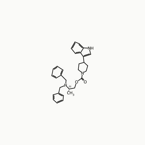 C[C@@H](COC(=O)N1CCC(c2c[nH]c3ccccc23)CC1)N(Cc1ccccc1)Cc1ccccc1